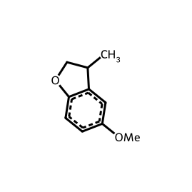 COc1ccc2c(c1)C(C)CO2